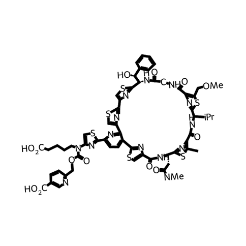 CNC(=O)C[C@@H]1NC(=O)c2csc(n2)-c2ccc(-c3nc(N(CCCCC(=O)O)C(=O)OCc4ccc(C(=O)O)cn4)cs3)nc2-c2csc(n2)-c2csc(n2)[C@H]([C@@H](O)c2ccccc2)NC(=O)CNC(=O)c2nc(sc2COC)C(C(C)C)NC(=O)c2nc1sc2C